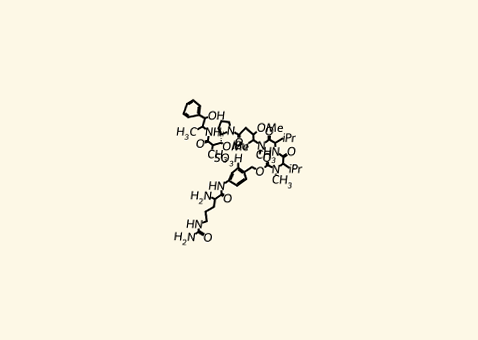 CCC(C)C(C(CC(=O)N1CCC[C@H]1C(OC)C(C)C(=O)NC(C)C(O)c1ccccc1)OC)N(C)C(=O)C(NC(=O)C(C(C)C)N(C)C(=O)OCc1ccc(NC(=O)C(N)CCCNC(N)=O)cc1S(=O)(=O)O)C(C)C